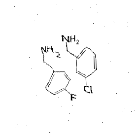 NCc1ccc(F)cc1.NCc1cccc(Cl)c1